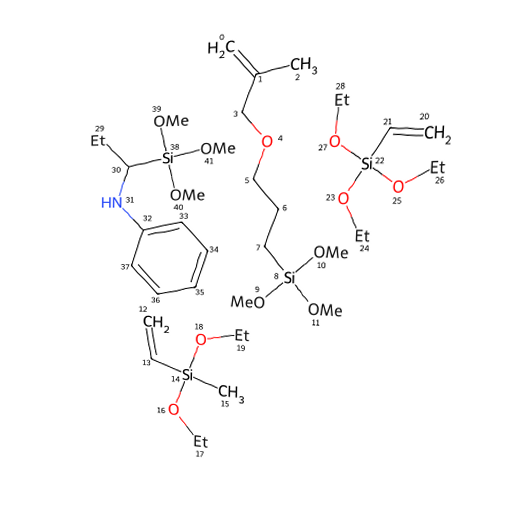 C=C(C)COCCC[Si](OC)(OC)OC.C=C[Si](C)(OCC)OCC.C=C[Si](OCC)(OCC)OCC.CCC(Nc1ccccc1)[Si](OC)(OC)OC